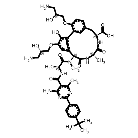 Cc1nc(-c2ccc(C(C)(C)C)cc2)nc(N)c1C(=O)N[C@@H](C)C(=O)N(C)[C@@H]1C(=O)N[C@@H](C)C(=O)N[C@H](C(=O)O)Cc2ccc(OC[C@@H](O)CN)c(c2)-c2cc1cc(OC[C@@H](O)CN)c2O